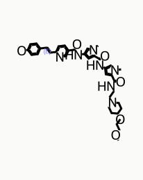 COCCOC1CCN(CCNC(=O)c2cc(NC(=O)c3cc(NC(=O)c4ccc(/C=C/c5ccc(OC)cc5)nc4)cn3C)cn2C)CC1